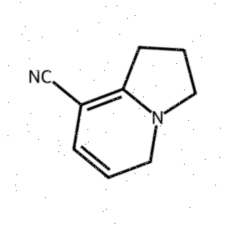 N#CC1=C2CCCN2CC=C1